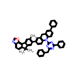 Cc1cc2c(cc1-c1ccc3c(c1)Cc1cc(-c4ccccc4)ccc1N3c1nc(Cc3ccccc3)nc(-c3ccccc3)n1)C(C)(C)c1ccc3ncoc3c1-2